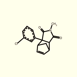 CN1C(=O)C2C3C=CC(C3)C2(c2cccc(Cl)c2)C1=O